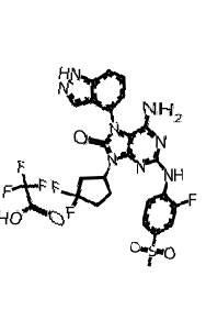 CS(=O)(=O)c1ccc(Nc2nc(N)c3c(n2)n(C2CCC(F)(F)C2)c(=O)n3-c2cccc3[nH]ncc23)c(F)c1.O=C(O)C(F)(F)F